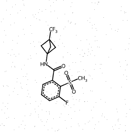 CS(=O)(=O)c1c(F)cccc1C(=O)NC12CC(C(F)(F)F)(C1)C2